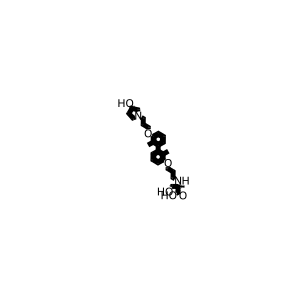 Cc1c(OCCCN[C@@](C)(CO)C(=O)O)cccc1-c1cccc(OCCCN2CC[C@@H](O)C2)c1C